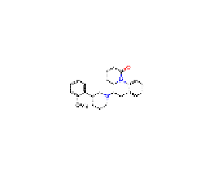 COc1ccccc1C1CCCN(CCc2ccccc2N2CCCCC2=O)C1